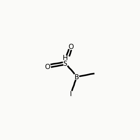 CB(I)[SH](=O)=O